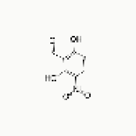 O=Cc1c(O)ccc([N+](=O)[O-])c1O